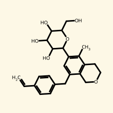 C=Cc1ccc(Cc2cc(C3OC(CO)C(O)C(O)C3O)c(C)c3c2COCC3)cc1